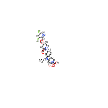 Cn1c2c(c3ccc(-n4ccc(OCc5ncc(F)cc5F)cc4=O)cc31)CCN(C(=O)O)CC2